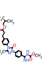 COC(=O)NC(=N)c1ccc(-n2nc(C)n(-c3ccc(CCC(=O)OCC(C)C)cc3)c2=O)cc1